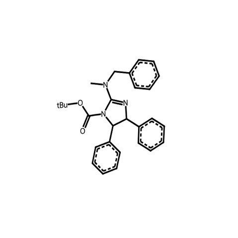 CN(Cc1ccccc1)C1=NC(c2ccccc2)C(c2ccccc2)N1C(=O)OC(C)(C)C